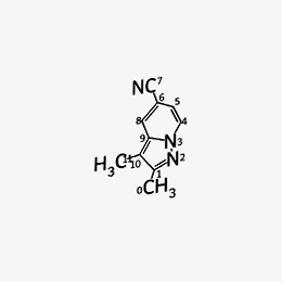 Cc1nn2ccc(C#N)cc2c1C